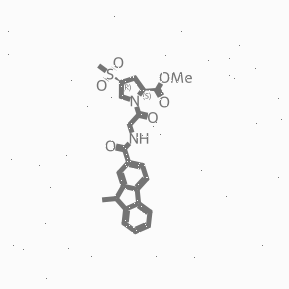 COC(=O)[C@@H]1C[C@@H](S(C)(=O)=O)CN1C(=O)CNC(=O)c1ccc2c(c1)C(C)c1ccccc1-2